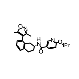 Cc1noc(C)c1-c1cccc2c1C[C@H](NC(=O)c1ccc(OC(C)C)nc1)CC2